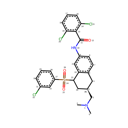 CN(C)C[C@@H]1Cc2ccc(NC(=O)c3c(Cl)cccc3Cl)cc2C(S(=O)(=O)c2cccc(Cl)c2)C1